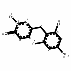 CCn1nc(Cc2c(Cl)cc(N)cc2Cl)ccc1=O